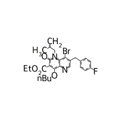 C=C(C)Cn1c(=O)c(C(=O)OCC)c(OCCCC)c2ncc(Cc3ccc(F)cc3)c(Br)c21